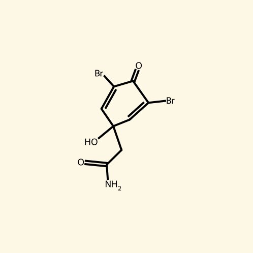 NC(=O)CC1(O)C=C(Br)C(=O)C(Br)=C1